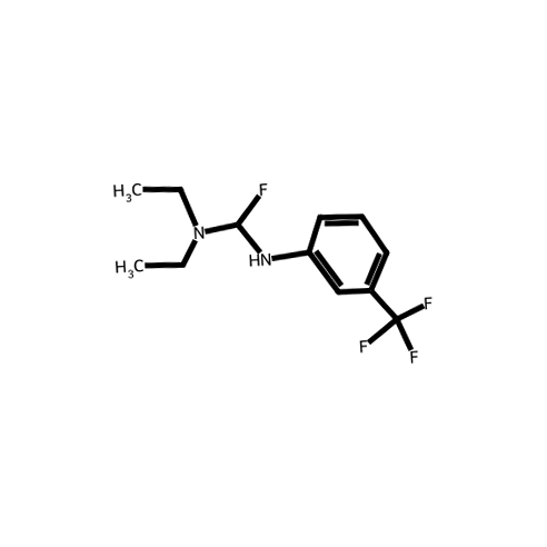 CCN(CC)[C](F)Nc1cccc(C(F)(F)F)c1